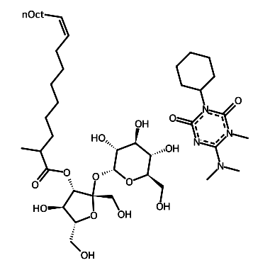 CCCCCCCC/C=C\CCCCCCC(C)C(=O)O[C@H]1[C@H](O)[C@@H](CO)O[C@@]1(CO)O[C@H]1O[C@H](CO)[C@@H](O)[C@H](O)[C@H]1O.CN(C)c1nc(=O)n(C2CCCCC2)c(=O)n1C